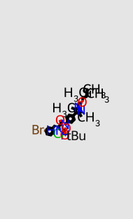 Cc1nn(COCC[Si](C)(C)C)c(C)c1-c1ccc(NC(=O)[C@H](Cc2cc(Br)ccc2Cl)NC(=O)OC(C)(C)C)cc1